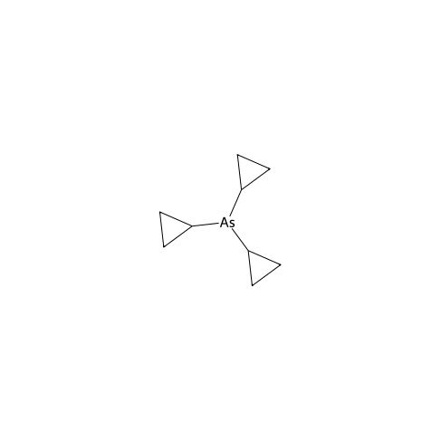 C1CC1[As](C1CC1)C1CC1